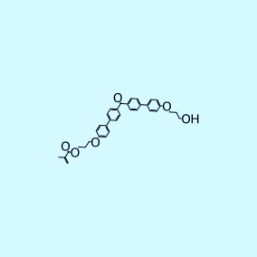 C=C(C)C(=O)OCCCOc1ccc(-c2ccc(C(=O)c3ccc(-c4ccc(OCCCO)cc4)cc3)cc2)cc1